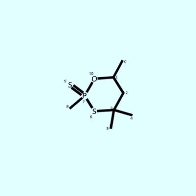 CC1CC(C)(C)SP(C)(=S)O1